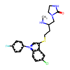 CNC(CCSc1cn(-c2ccc(F)cc2)c2ccc(Cl)cc12)CN1CCNC1=O